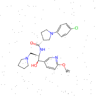 CC(C)Oc1ccc([C@@H](O)[C@@H](CN2CCCC2)NC(=O)[C@@H]2CCN(c3ccc(Cl)cc3)C2)cn1